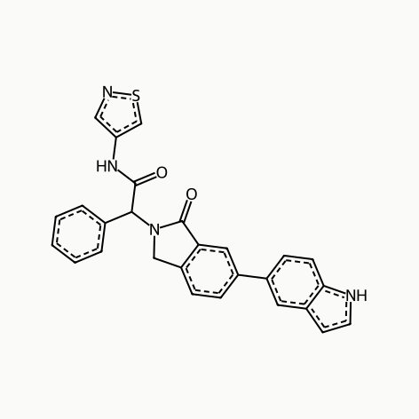 O=C(Nc1cnsc1)C(c1ccccc1)N1Cc2ccc(-c3ccc4[nH]ccc4c3)cc2C1=O